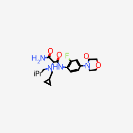 CC(C)CN(CC1CC1)[C@@H](C(N)=O)C(=O)Nc1ccc(N2CCOCC2=O)cc1F